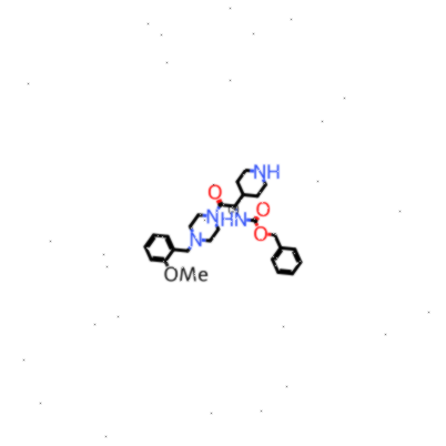 COc1ccccc1CN1CCN(C(=O)[C@@H](NC(=O)OCc2ccccc2)C2CCNCC2)CC1